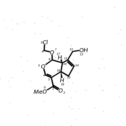 COC(=O)C1=COC(OCCl)[C@@H]2C(CO)=CC[C@H]12